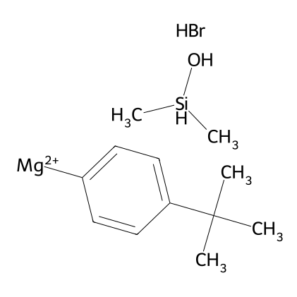 Br.CC(C)(C)c1cc[c]([Mg+2])cc1.C[SiH](C)O